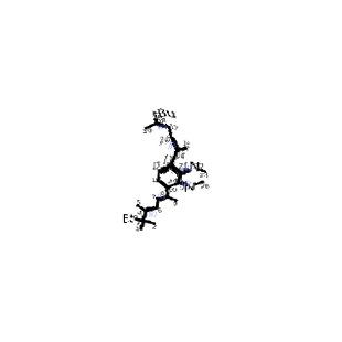 CCC(C)(C)/C(C)=C/C=C(\C)C1=CC=C(/C(C)=C/C=C(\C)C(C)(C)C)C(=N/C)/C1=N\C